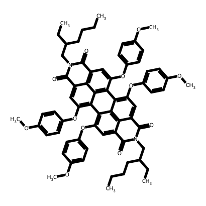 CCCCC(CC)CN1C(=O)c2cc(Oc3ccc(OC)cc3)c3c4c(Oc5ccc(OC)cc5)cc5c6c(cc(Oc7ccc(OC)cc7)c(c7c(Oc8ccc(OC)cc8)cc(c2c37)C1=O)c64)C(=O)N(CC(CC)CCCC)C5=O